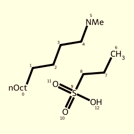 CCCCCCCCCCCCNC.CCCS(=O)(=O)O